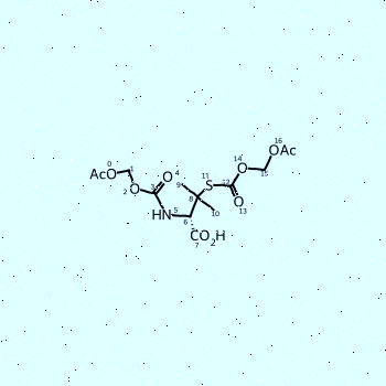 CC(=O)OCOC(=O)N[C@@H](C(=O)O)C(C)(C)SC(=O)OCOC(C)=O